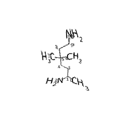 CC(N)CCC(C)(C)CCN